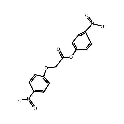 O=C(COc1ccc([N+](=O)[O-])cc1)Oc1ccc([N+](=O)[O-])cc1